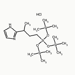 CC(CC[Si](O[Si](C)(C)C)(O[Si](C)(C)C)O[Si](C)(C)C)c1ncc[nH]1.Cl